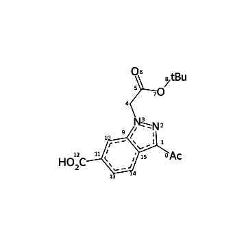 CC(=O)c1nn(CC(=O)OC(C)(C)C)c2cc(C(=O)O)ccc12